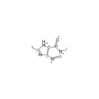 Cc1nc2ncn(C)c(=O)c2[nH]1